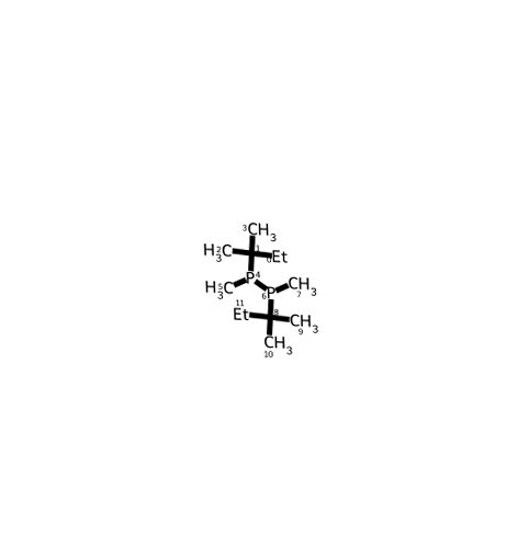 CCC(C)(C)P(C)P(C)C(C)(C)CC